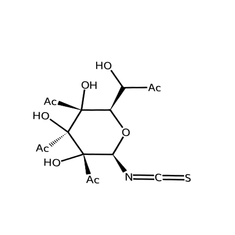 CC(=O)C(O)[C@H]1O[C@@H](N=C=S)[C@@](O)(C(C)=O)[C@](O)(C(C)=O)[C@@]1(O)C(C)=O